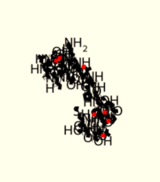 CC[C@H](C)[C@H](NC(=O)[C@H](CCC(=O)O)NC(=O)[C@@H](NC(=O)[C@H](CCCCN)NC(=O)[C@H](C)NC(=O)[C@@H](NC(=O)[C@H](C)NC(=O)[C@@H]1CCCN1C(=O)[C@H](CO)NC(=O)[C@@H]1CCCN1C(=O)[C@@H]1CCCN1C(=O)[C@@H]1CCCN1C(=O)[C@H](CS)NC(=O)[C@H](CC(C)C)NC(=O)[C@@H](NC(=O)[C@H](CO)NC(=O)[C@@H](N)CCSC)[C@@H](C)O)C(C)C)[C@@H](C)O)C(=O)N[C@@H](C)C(=O)N[C@@H](CC(C)C)C(=O)N[C@@H](CO)C(=O)O